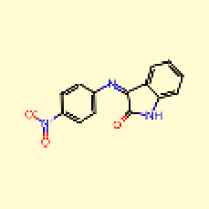 O=C1Nc2ccccc2/C1=N/c1ccc([N+](=O)[O-])cc1